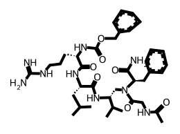 CC(=O)NCC(=O)N(C[C@@H](NC(=O)[C@H](CC(C)C)NC(=O)[C@H](CCCNC(=N)N)NC(=O)OCc1ccccc1)C(C)C)[C@H](Cc1ccccc1)C(N)=O